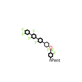 CCCCCc1ccc(C(F)(F)OC2CCC(c3ccc(-c4cc(F)c(-c5ccc(F)c(F)c5)c(F)c4)c(F)c3)CC2)c(F)c1